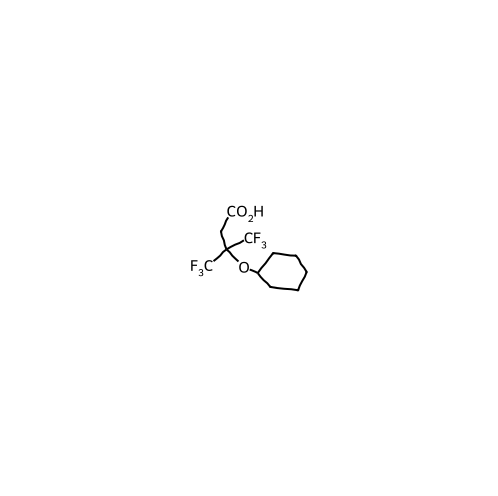 O=C(O)CC(OC1CCCCC1)(C(F)(F)F)C(F)(F)F